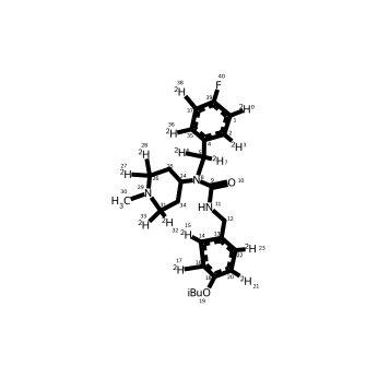 [2H]c1c([2H])c(C([2H])([2H])N(C(=O)NCc2c([2H])c([2H])c(OCC(C)C)c([2H])c2[2H])C2CC([2H])([2H])N(C)C([2H])([2H])C2)c([2H])c([2H])c1F